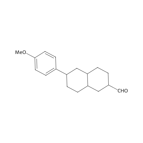 COc1ccc(C2CCC3CC(C=O)CCC3C2)cc1